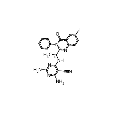 C[C@H](Nc1nc(N)nc(N)c1C#N)c1nc2ccc(I)cc2c(=O)n1-c1ccccc1